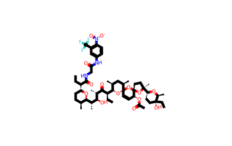 CCC(C(=O)NCC(=O)Nc1ccc([N+](=O)[O-])c(C(F)(F)F)c1)[C@H]1CC[C@H](C)[C@H]([C@@H](C)[C@H](O)[C@H](C)C(=O)[C@H](CC)[C@H]2O[C@]3(C=C[C@@H](OC(C)=O)[C@]4(CC[C@@](C)([C@H]5CC[C@](O)(CC)[C@H](C)O5)O4)O3)[C@H](C)C[C@@H]2C)O1